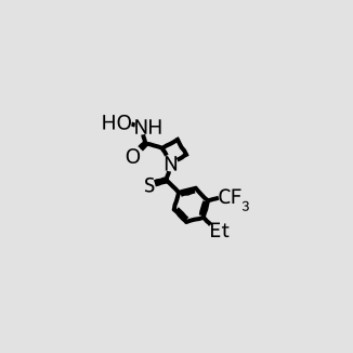 CCc1ccc(C(=S)N2CCC2C(=O)NO)cc1C(F)(F)F